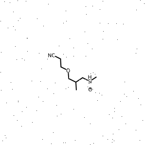 CC(COCCC#N)C[SiH](C)[O]